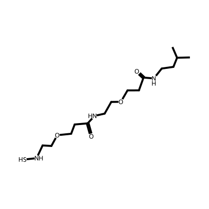 CC(C)CCNC(=O)CCOCCNC(=O)CCOCCNS